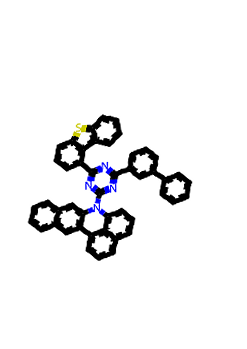 c1ccc(-c2cccc(-c3nc(-c4cccc5sc6ccccc6c45)nc(N4c5cc6ccccc6cc5-c5cccc6cccc4c56)n3)c2)cc1